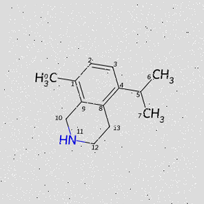 Cc1ccc(C(C)C)c2c1CNCC2